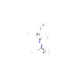 CC/C(=C\C=C(/C)SC(C)(C)OCOC)NC